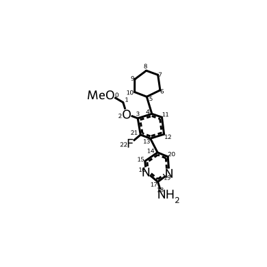 COCOc1c(C2CCCCC2)ccc(-c2cnc(N)nc2)c1F